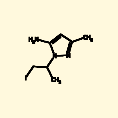 Cc1cc(N)n(C(C)CI)n1